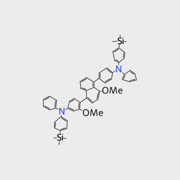 COc1cc(N(c2ccccc2)c2ccc([Si](C)(C)C)cc2)ccc1-c1ccc(OC)c2c(-c3ccc(N(c4ccccc4)c4ccc([Si](C)(C)C)cc4)cc3)cccc12